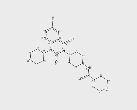 O=C(NC1CCC(n2c(=O)c3cc(F)cnc3n(C3CCSCC3)c2=O)CC1)C1CCOCC1